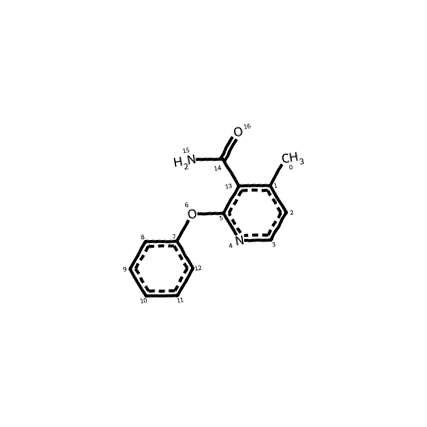 Cc1ccnc(Oc2ccccc2)c1C(N)=O